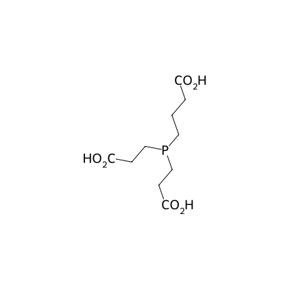 O=C(O)CCCP(CCC(=O)O)CCC(=O)O